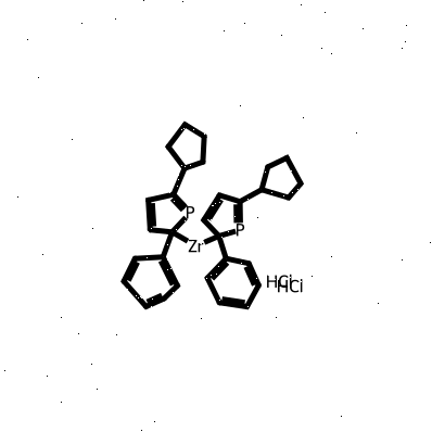 C1=C[C]([Zr][C]2(c3ccccc3)C=CC(C3CCCC3)=P2)(c2ccccc2)P=C1C1CCCC1.Cl.Cl